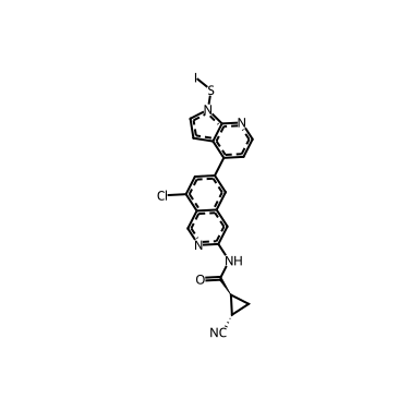 N#C[C@H]1C[C@@H]1C(=O)Nc1cc2cc(-c3ccnc4c3ccn4SI)cc(Cl)c2cn1